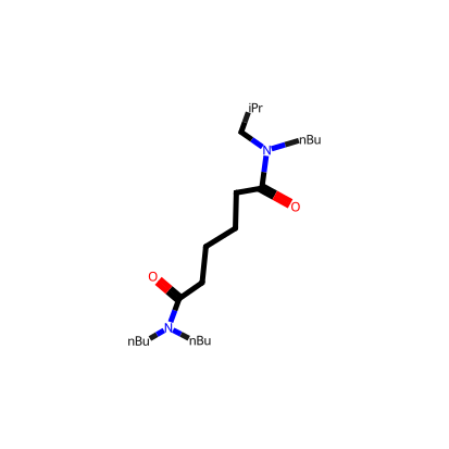 CCCCN(CCCC)C(=O)CCCCC(=O)N(CCCC)CC(C)C